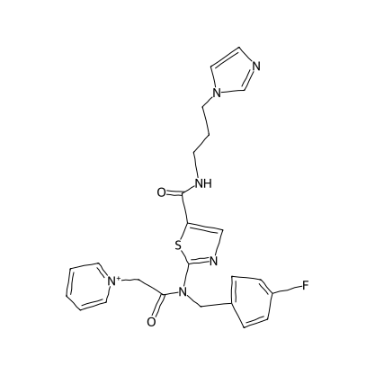 O=C(NCCCn1ccnc1)c1cnc(N(Cc2ccc(F)cc2)C(=O)C[n+]2ccccc2)s1